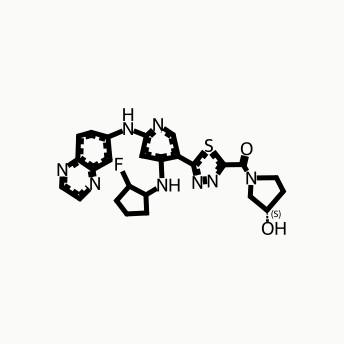 O=C(c1nnc(-c2cnc(Nc3ccc4nccnc4c3)cc2NC2CCCC2F)s1)N1CC[C@H](O)C1